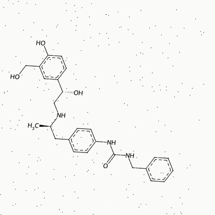 C[C@H](Cc1ccc(NC(=O)NCc2ccccc2)cc1)NC[C@@H](O)c1ccc(O)c(CO)c1